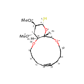 CO[C@@H]1[C@@H](OC)[C@H](S)O[C@@H]2COCCC/C=C\CCCO[C@@H]12